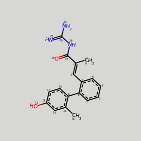 C/C(=C\c1ccccc1-c1ccc(O)cc1C)C(=O)NC(=N)N